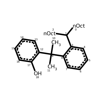 CCCCCCCCC(CCCCCCCC)c1ccccc1C(C)(C)c1ccccc1O